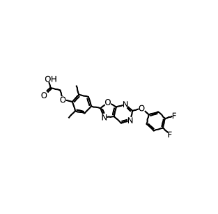 Cc1cc(-c2nc3cnc(Oc4ccc(F)c(F)c4)nc3o2)cc(C)c1OCC(=O)O